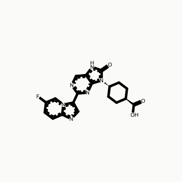 O=c1[nH]c2cnc(-c3cnc4ccc(F)cn34)nc2n1[C@H]1CC[C@H](C(=O)O)CC1